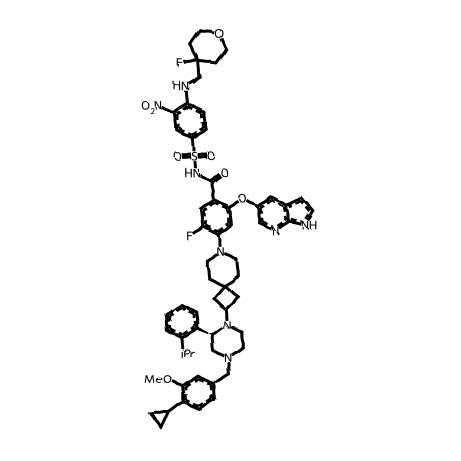 COc1cc(CN2CCN(C3CC4(CCN(c5cc(Oc6cnc7[nH]ccc7c6)c(C(=O)NS(=O)(=O)c6ccc(NCC7(F)CCOCC7)c([N+](=O)[O-])c6)cc5F)CC4)C3)[C@H](c3ccccc3C(C)C)C2)ccc1C1CC1